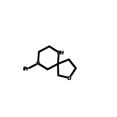 CC(C)N1CCNC2(CCOC2)C1